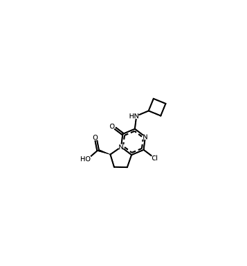 O=C(O)[C@@H]1CCc2c(Cl)nc(NC3CCC3)c(=O)n21